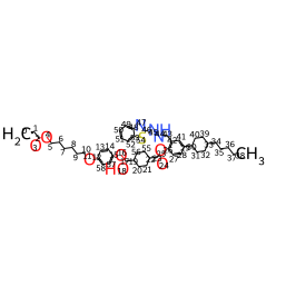 C=CC(=O)OCCCCCCOc1ccc(OC(O)C2CCC(C(=O)Oc3ccc(C4CCC(CCCCC)CC4)cc3/C=N/Nc3nc4ccccc4s3)CC2)cc1